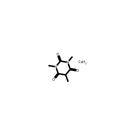 CC1C(=O)N(C)C(=O)N(C)C1=O.[CaH2]